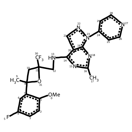 COc1ccc(F)cc1C1(C)CC(CNc2nc(C)nc3c2cnn3-c2ccncc2)(C(F)(F)F)O1